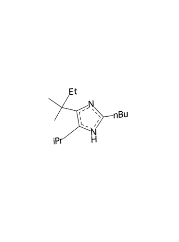 CCCCc1nc(C(C)(C)CC)c(C(C)C)[nH]1